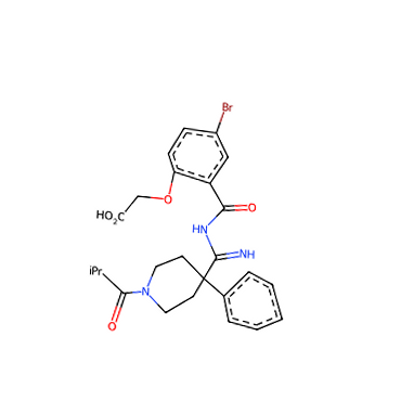 CC(C)C(=O)N1CCC(C(=N)NC(=O)c2cc(Br)ccc2OCC(=O)O)(c2ccccc2)CC1